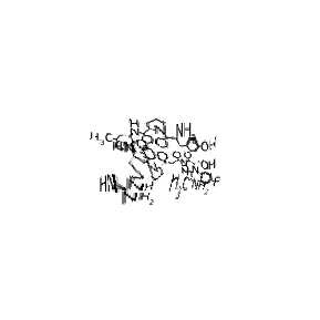 CC(C)C[C@H](NC(=O)[C@H]1CCCN1C(=O)[C@@H](N)Cc1ccc(O)cc1)C(=O)N[C@@H](CCCNC(=N)N)C(=O)N1CCC[C@H]1C(=O)CC(=O)NC(=O)[C@H](CO)N(C(=O)[C@H](C)N)c1ccc(F)cc1